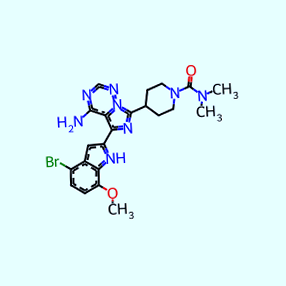 COc1ccc(Br)c2cc(-c3nc(C4CCN(C(=O)N(C)C)CC4)n4ncnc(N)c34)[nH]c12